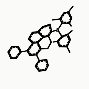 Cc1cc(C)c(B(c2ccc3ccc4c(-c5ccccc5)cc(-c5ccccc5)c5c4c3c2CC5)c2c(C)cc(C)cc2C)c(C)c1